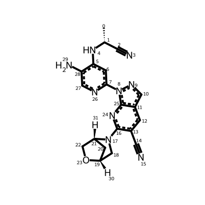 C[C@H](C#N)Nc1cc(-n2ncc3cc(C#N)c(N4C[C@H]5C[C@@H]4CO5)nc32)ncc1N